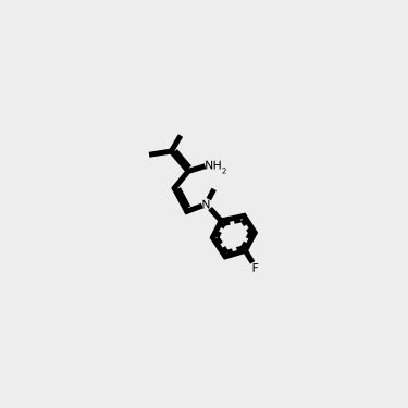 CC(C)=C(N)/C=C\N(C)c1ccc(F)cc1